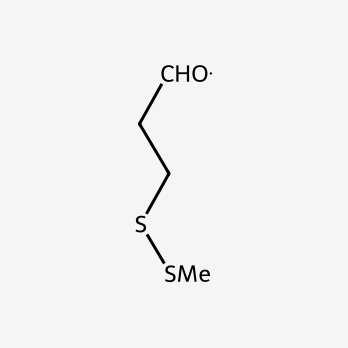 CSSCC[C]=O